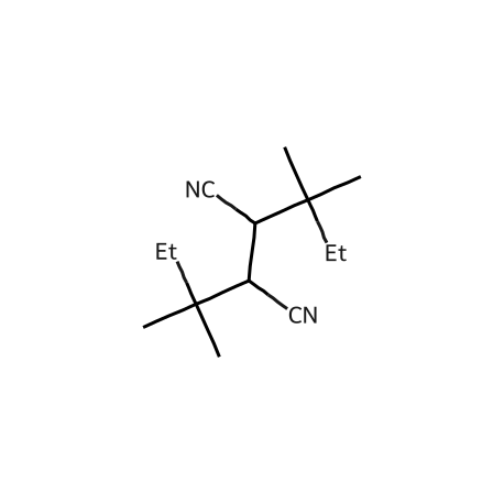 CCC(C)(C)C(C#N)C(C#N)C(C)(C)CC